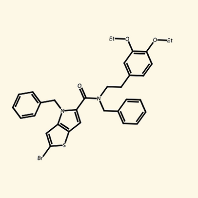 CCOc1ccc(CCN(Cc2ccccc2)C(=O)c2cc3sc(Br)cc3n2Cc2ccccc2)cc1OCC